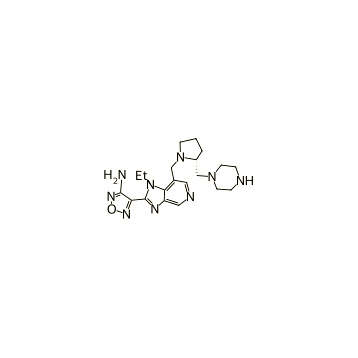 CCn1c(-c2nonc2N)nc2cncc(CN3CCC[C@@H]3CN3CCNCC3)c21